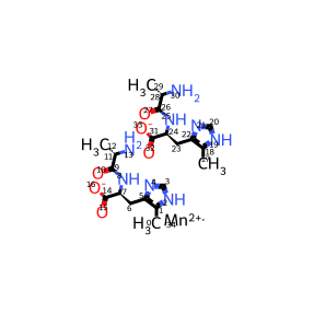 Cc1[nH]cnc1C[C@H](NC(=O)[C@H](C)N)C(=O)[O-].Cc1[nH]cnc1C[C@H](NC(=O)[C@H](C)N)C(=O)[O-].[Mn+2]